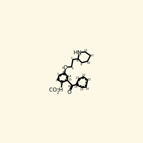 O=C(O)c1ccc(OCCC2CCCCN2)cc1C(=O)c1ccccc1